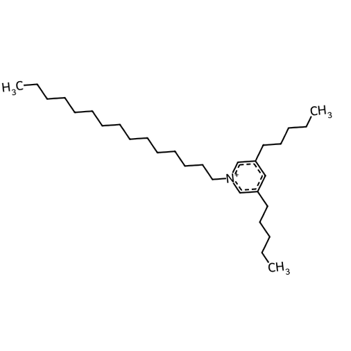 CCCCCCCCCCCCCCC[n+]1cc(CCCCC)cc(CCCCC)c1